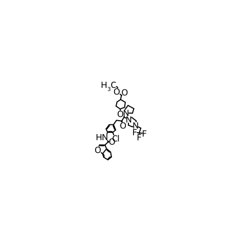 CCOC(=O)C1CCC(OC(C(=O)Cc2ccc(NC(=O)c3coc4ccccc34)c(Cl)c2)(N2CCCC2)N2CCN(CC(F)(F)F)CC2)CC1